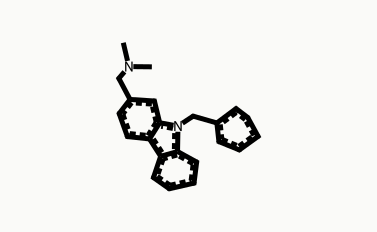 CN(C)Cc1ccc2c3ccccc3n(Cc3ccccc3)c2c1